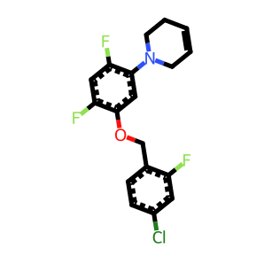 Fc1cc(Cl)ccc1COc1cc(N2CC=CCC2)c(F)cc1F